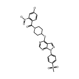 CS(=O)(=O)c1ccc(-n2ncc3c(OC4CCN(C(=O)c5ccc(Cl)cc5[N+](=O)[O-])CC4)ncnc32)cc1